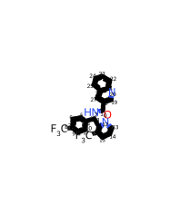 O=C(N[C@@H](c1ccc(C(F)(F)F)cc1)c1ncccc1C(F)(F)F)c1cnc2ccccc2c1